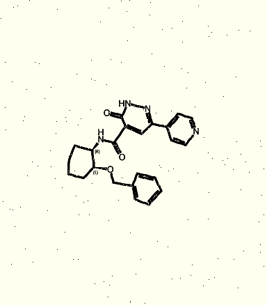 O=C(N[C@@H]1CCCC[C@@H]1OCc1ccccc1)c1cc(-c2ccncc2)n[nH]c1=O